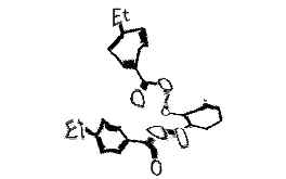 CCc1ccc(C(=O)OO[C]2CCC[CH]C2OOC(=O)c2ccc(CC)cc2)cc1